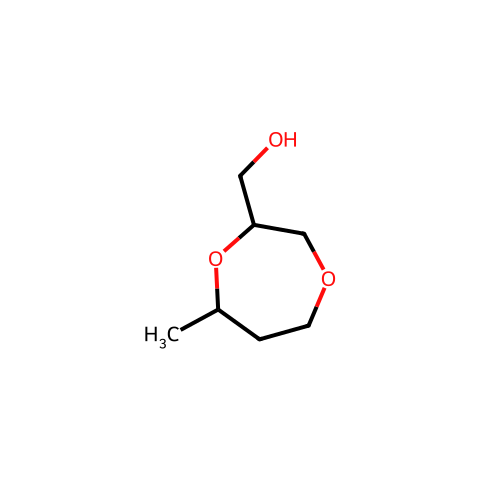 CC1CCOCC(CO)O1